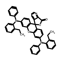 CCc1ccccc1N(c1cc#ccc1)c1ccc2c(c1)Oc1cc(N(c3ccccc3)c3ccccc3CC)ccc1C21OC(=O)c2ncccc21